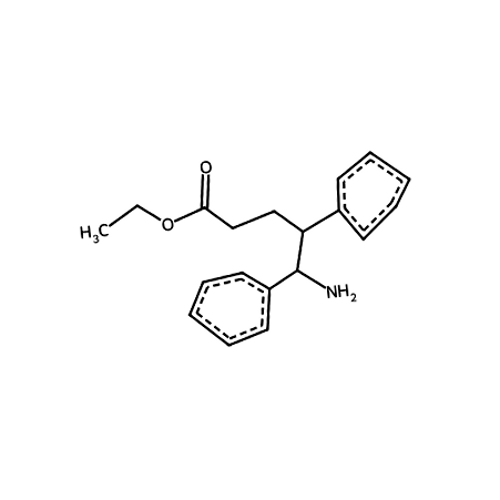 CCOC(=O)CCC(c1ccccc1)C(N)c1ccccc1